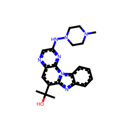 CN1CCN(Nc2cnc3cc(C(C)(C)O)c4nc5ccccc5n4c3n2)CC1